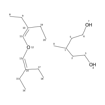 CC(CCO)CCO.CCC(=COC=C(CC)CC)CC